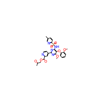 COc1ccccc1Oc1c(NS(=O)(=O)c2ccc(C)cn2)nc(-c2ccnc(C(=O)OCC(C)=O)c2)nc1OC